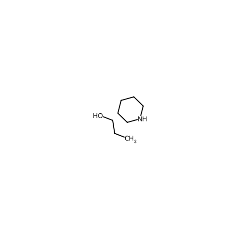 C1CCNCC1.CCCO